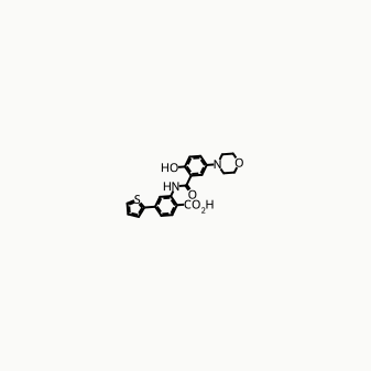 O=C(Nc1cc(-c2cccs2)ccc1C(=O)O)c1cc(N2CCOCC2)ccc1O